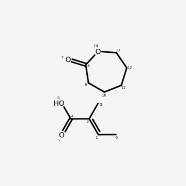 C/C=C(\C)C(=O)O.O=C1CCCCCO1